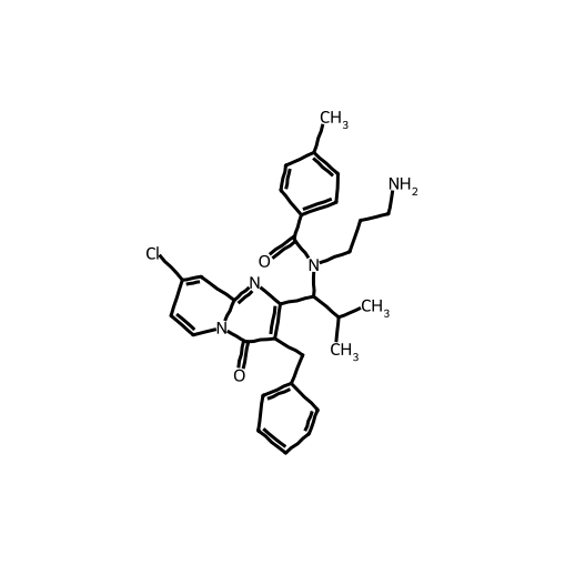 Cc1ccc(C(=O)N(CCCN)C(c2nc3cc(Cl)ccn3c(=O)c2Cc2ccccc2)C(C)C)cc1